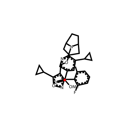 COC(=O)c1cnc(N2C3CCC2CC(OCc2c(-c4c(F)cccc4F)noc2C2CC2)C3)c(C2CC2)c1